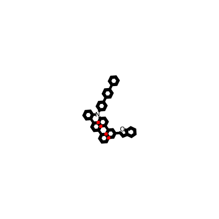 c1ccc(-c2ccc(-c3ccc(N(c4ccc(-c5cccc(-c6cc7ccccc7o6)c5)cc4)c4ccccc4-c4ccc(-c5ccccc5)cc4)cc3)cc2)cc1